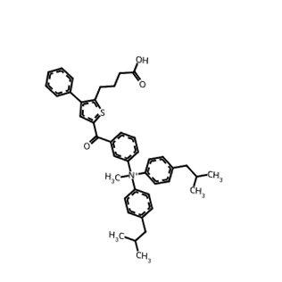 CC(C)Cc1ccc([N+](C)(c2ccc(CC(C)C)cc2)c2cccc(C(=O)c3cc(-c4ccccc4)c(CCCC(=O)O)s3)c2)cc1